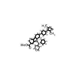 COC(=O)c1cnc2c3ccc(-c4ccc(-c5c(C)noc5C)cc4)cc3n([C@H](c3ccccc3)C3CCOCC3)c2c1